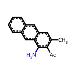 CC(=O)c1c(C)cc2cc3ccccc3cc2c1N